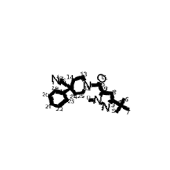 Cn1nc(C(C)(C)C)cc1C(=O)N1CCC(C#N)(c2ccccc2)CC1